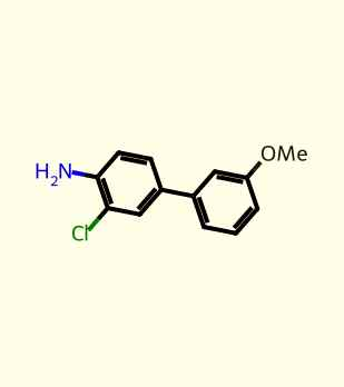 COc1cccc(-c2ccc(N)c(Cl)c2)c1